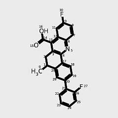 CC1Cc2c(nc3ccc(F)cc3c2C(=O)O)-c2ccc(-c3ccccc3F)cc21